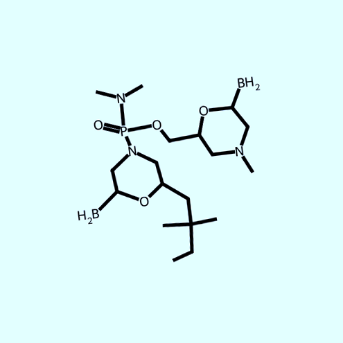 BC1CN(C)CC(COP(=O)(N(C)C)N2CC(B)OC(CC(C)(C)CC)C2)O1